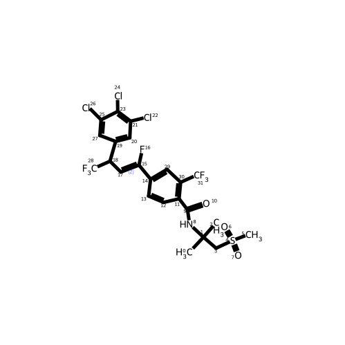 CC(C)(CS(C)(=O)=O)NC(=O)c1ccc(/C(F)=C/C(c2cc(Cl)c(Cl)c(Cl)c2)C(F)(F)F)cc1C(F)(F)F